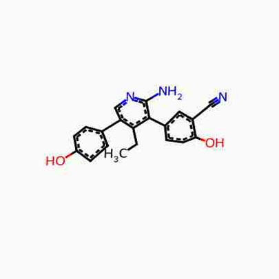 CCc1c(-c2ccc(O)cc2)cnc(N)c1-c1ccc(O)c(C#N)c1